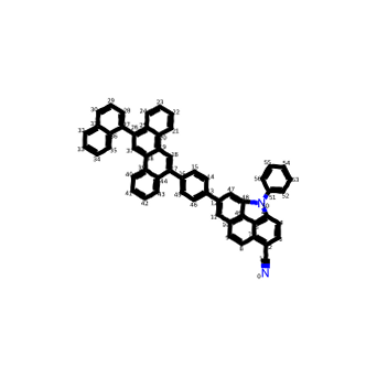 N#Cc1ccc2c3c1ccc1cc(-c4ccc(-c5cc6c7ccccc7c(-c7cccc8ccccc78)cc6c6ccccc56)cc4)cc(c13)n2-c1ccccc1